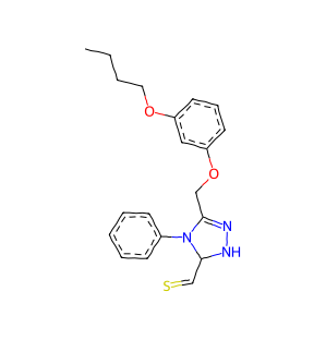 CCCCOc1cccc(OCC2=NNC(C=S)N2c2ccccc2)c1